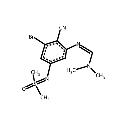 CN(C)/C=N\c1cc(N=S(C)(C)=O)cc(Br)c1C#N